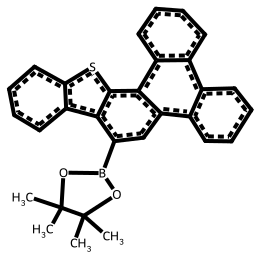 CC1(C)OB(c2cc3c4ccccc4c4ccccc4c3c3sc4ccccc4c23)OC1(C)C